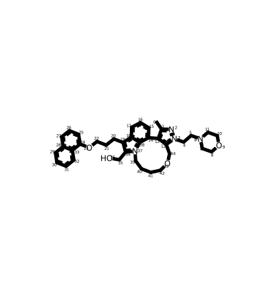 Cc1nn(CCN2CCOCC2)c2c1-c1cccc3c(CCCOc4cccc5ccccc45)c(CO)n(c13)CCCCOC2